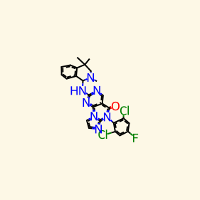 CN1CC(C)(C)c2ccccc2C1Nc1ncc2c(=O)n(-c3c(Cl)cc(F)cc3Cl)c3nccn3c2n1